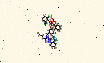 CCCCc1nn(-c2ccccc2C(F)(F)F)c(=O)n1Cc1ccc(-c2ccccc2S(=O)(=O)NC(=O)c2c(Cl)cccc2Cl)cc1